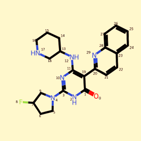 O=c1[nH]c(N2CCC(F)C2)nc(NC2CCCNC2)c1-c1ccc2ccccc2n1